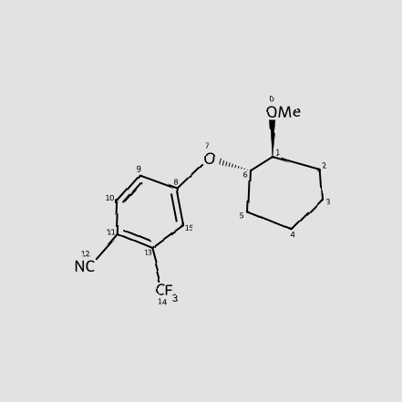 CO[C@H]1CCCC[C@@H]1Oc1ccc(C#N)c(C(F)(F)F)c1